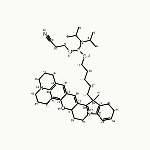 CC(C)N(C(C)C)P(OCCC#N)OCCCCCC1(C)C2=C(C=CCC2)[N+]2=C1C1=Cc3cc4c5c(c3OC1CC2)CCCN5CCC4